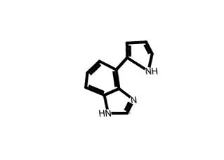 [c]1nc2c(-c3ccc[nH]3)cccc2[nH]1